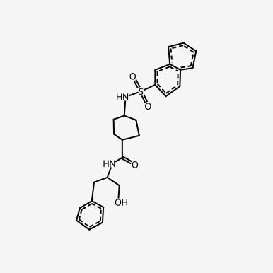 O=C(NC(CO)Cc1ccccc1)C1CCC(NS(=O)(=O)c2ccc3ccccc3c2)CC1